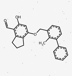 Cc1c(COc2cc(O)c(C=O)c3c2CCC3)cccc1-c1ccccc1